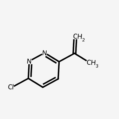 C=C(C)c1ccc(Cl)nn1